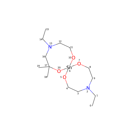 CCN1CC[O][Sn]2([O]CC1)[O]CCN(CC)CC(C)(C)[O]2